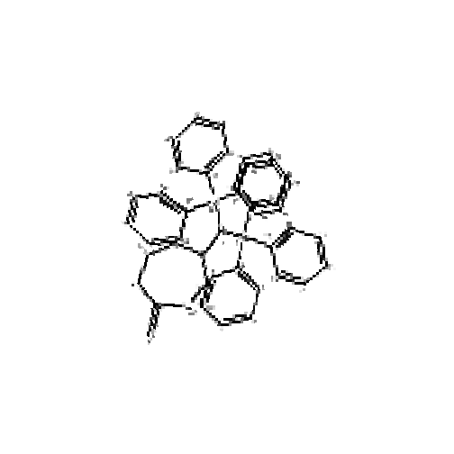 O=C1CCCC(N([Si](c2ccccc2)(c2ccccc2)c2ccccc2)[Si](c2ccccc2)(c2ccccc2)c2ccccc2)CO1